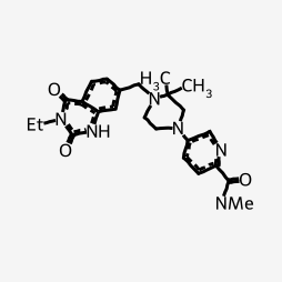 CCn1c(=O)[nH]c2cc(CN3CCN(c4ccc(C(=O)NC)nc4)CC3(C)C)ccc2c1=O